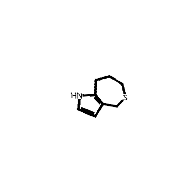 c1cc2c([nH]1)CCCSC2